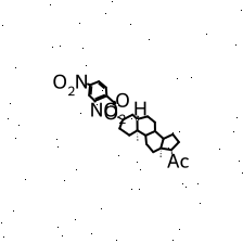 CC(=O)[C@H]1CCC2C3CC[C@H]4C[C@H](OC(=O)c5ccc([N+](=O)[O-])cc5[N+](=O)[O-])CC[C@]4(C)C3CC[C@@]21C